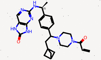 C=CC(=O)N1CCN(C(CC23CC(C2)C3)c2ccc([C@H](C)Nc3ncc4[nH]c(=O)[nH]c4n3)cc2)CC1